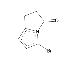 O=C1CCc2ccc(Br)n21